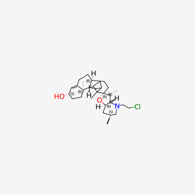 C[C@H]1C[C@H]2O[C@]3(CCC45CC3(C)C4C[C@H]3[C@H]5CCC4=C[C@@H](O)CC[C@@]43C)[C@H](C)[C@@H]2N(CCCl)C1